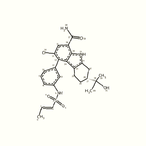 CC=CS(=O)(=O)Nc1cccc(-c2c(Cl)cc(C(N)=O)c3[nH]c4c(c23)CC[C@@H](C(C)(C)O)C4)c1